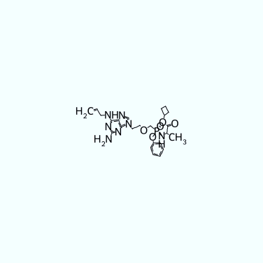 C=CCNc1nc(N)nc2c1ncn2CCOCP(=O)(NC(C)C(=O)OC1CCC1)Oc1ccccc1